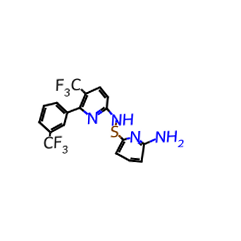 Nc1cccc(SNc2ccc(C(F)(F)F)c(-c3cccc(C(F)(F)F)c3)n2)n1